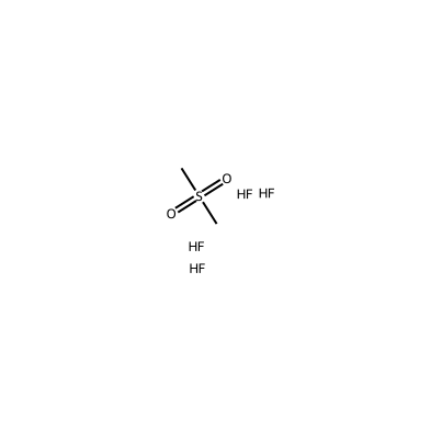 CS(C)(=O)=O.F.F.F.F